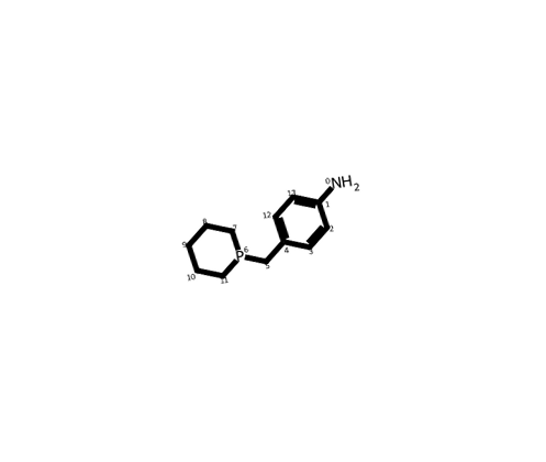 Nc1ccc(CP2CCCCC2)cc1